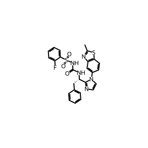 Cc1nc2cc(-n3ccnc3[C@H](Cc3ccccc3)NC(=O)NS(=O)(=O)c3ccccc3F)ccc2s1